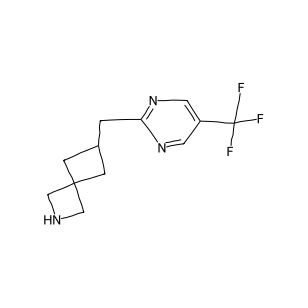 FC(F)(F)c1cnc(CC2CC3(CNC3)C2)nc1